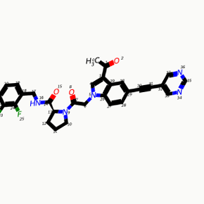 CC(=O)c1cn(CC(=O)N2CCC[C@H]2C(=O)NCc2cccc(Cl)c2F)c2ccc(C#Cc3cncnc3)cc12